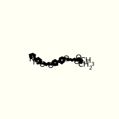 C=C(C)C(=O)OCCCCOc1ccc(-c2ccc(OCCCOc3ccc(-c4ccccn4)nc3)cc2)cc1